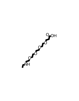 CCNCCOCCOCCOCCOCCC(=O)O